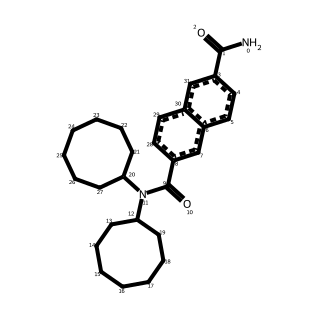 NC(=O)c1ccc2cc(C(=O)N(C3CCCCCCC3)C3CCCCCCC3)ccc2c1